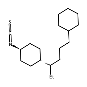 CCC(CCCC1CCCCC1)[C@H]1CC[C@H](N=C=S)CC1